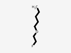 CCCC[CH]OCCF